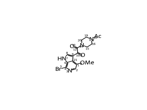 COc1cnc(Br)c2[nH]cc(C(=O)C(=O)N3CCN(C(C)=O)CC3)c12